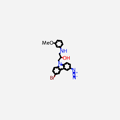 COc1cccc(NCC(O)Cn2c3ccc(Br)cc3c3cc(N=[N+]=[N-])ccc32)c1